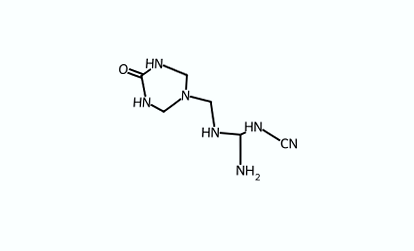 N#CNC(N)NCN1CNC(=O)NC1